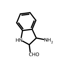 NC1c2ccccc2NC1C=O